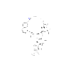 C=C[C@@H]1C[C@]1(NC(=O)[C@@H]1C[C@@H]2CN1C(=O)[C@H](CC(F)(F)F)NC(=O)OCCCC/C=C/c1ccc3ccnc(c3c1)O2)C(=O)NS(=O)(=O)C1CC1